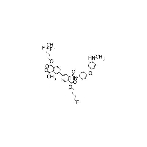 CNc1ccc(Oc2ccc(NC(=O)c3cc(-c4ccc(C(=O)OCCCC(C)(F)F)c(C(C)=O)c4)ccc3C(=O)OCCCCF)cc2)cc1